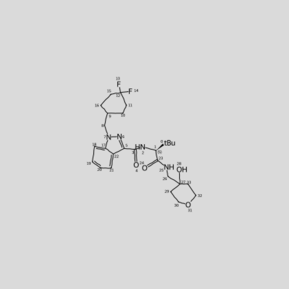 CC(C)(C)[C@H](NC(=O)c1nn(CC2CCC(F)(F)CC2)c2ccccc12)C(=O)NCC1(O)CCOCC1